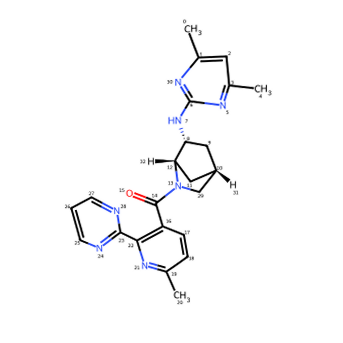 Cc1cc(C)nc(N[C@@H]2C[C@H]3C[C@@H]2N(C(=O)c2ccc(C)nc2-c2ncccn2)C3)n1